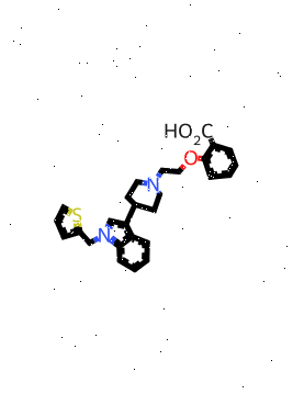 O=C(O)c1ccccc1OCCN1CCC(c2cn(Cc3cccs3)c3ccccc23)CC1